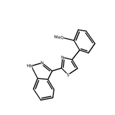 COc1ccccc1-c1csc(-c2n[nH]c3ccccc23)n1